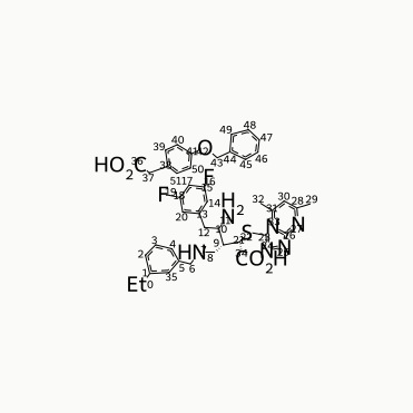 CCc1cccc(CNC[C@H](C(N)Cc2cc(F)cc(F)c2)[C@H](Sc2nnc3nc(C)cc(C)n23)C(=O)O)c1.O=C(O)Cc1ccc(OCc2ccccc2)cc1